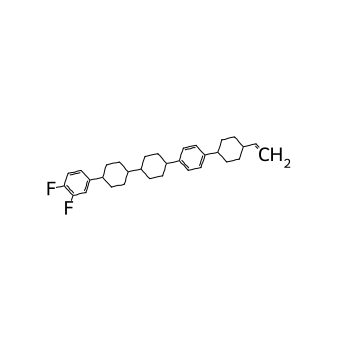 C=CC1CCC(c2ccc(C3CCC(C4CCC(c5ccc(F)c(F)c5)CC4)CC3)cc2)CC1